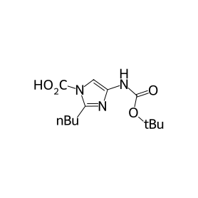 CCCCc1nc(NC(=O)OC(C)(C)C)cn1C(=O)O